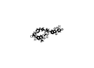 CNC(=O)COc1cc2cc(Nc3nc(N4CCC(OC5CC(N6CC7(CN(c8ccc9c(c8)C(=O)N([C@@H]8CCC(=O)NC8=O)C9=O)C7)C6)C5)CC4)ncc3Cl)ccc2n(C(C)C)c1=O